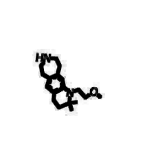 COCCN1c2cc3c(cc2CCC1(C)C)CCNCC3